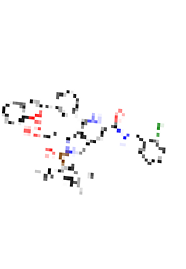 CC(C)(C)[S@@+]([O-])N1Cc2cc(C(=O)NCc3ccccc3F)nc(-c3cccc(-c4cc5ccccc5o4)c3)c2[C@H]1CCO